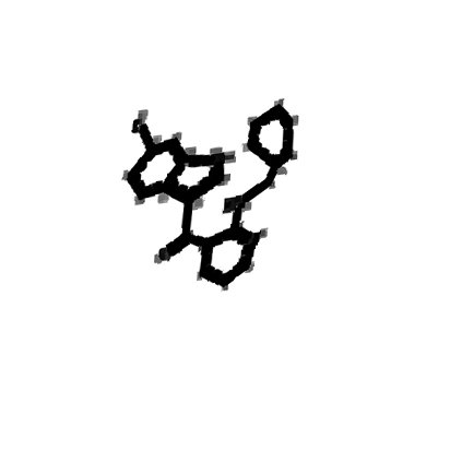 O=C(c1cccnc1NCc1ccccc1)c1c[nH]c2cc(Cl)ccc12